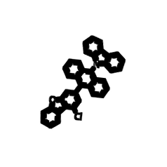 Clc1cc(-c2c3ccccc3c(-n3c4ccccc4c4ccccc43)c3ccccc23)cc2oc3ccccc3c12